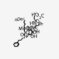 CCCCCCCCCCCCCCCCCC(=O)N(CCCCc1ccccc1)C[C@H]1O[C@H](OC)[C@@H](NC(=O)[C@H](CC(C)C)NC(=O)CCC(=O)O)[C@@H](O)[C@@H]1O